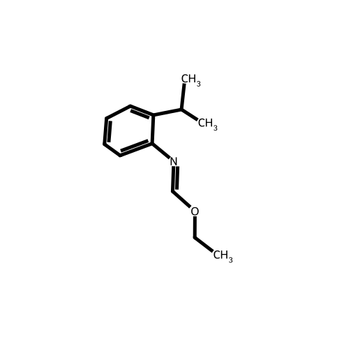 CCOC=Nc1ccccc1C(C)C